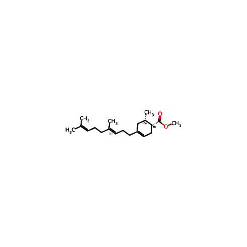 COC(=O)[C@@H]1CC=C(CC/C=C(\C)CCC=C(C)C)C[C@@H]1C